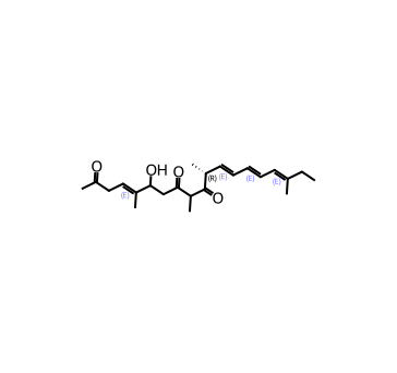 CC/C(C)=C/C=C/C=C/[C@@H](C)C(=O)C(C)C(=O)CC(O)/C(C)=C/CC(C)=O